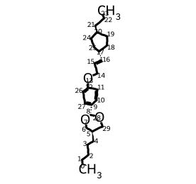 CCCCC[C@H]1CO[C@H](c2ccc(OCC=C[C@H]3CC[C@H](CCC)CC3)cc2)OC1